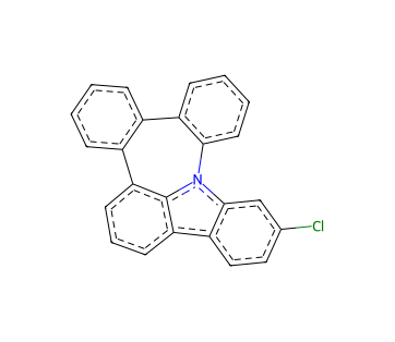 Clc1ccc2c3cccc4c3n(c2c1)-c1ccccc1-c1ccccc1-4